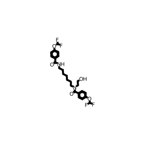 O=C(NCCCCCCCN(CCO)C(=O)c1ccc(OC(F)F)cc1)c1ccc(OC(F)F)cc1